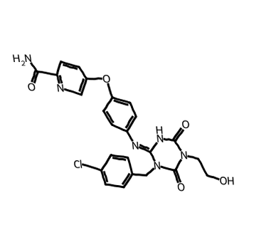 NC(=O)c1ccc(Oc2ccc(/N=c3\[nH]c(=O)n(CCO)c(=O)n3Cc3ccc(Cl)cc3)cc2)cn1